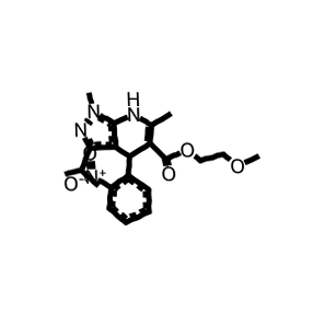 COCCOC(=O)C1=C(C)Nc2c(c(C(C)C)nn2C)C1c1ccccc1[N+](=O)[O-]